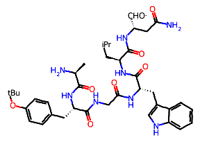 CC(C)C[C@H](NC(=O)[C@H](Cc1c[nH]c2ccccc12)NC(=O)CNC(=O)[C@H](Cc1ccc(OC(C)(C)C)cc1)NC(=O)[C@H](C)N)C(=O)N[C@H]([C]=O)CC(N)=O